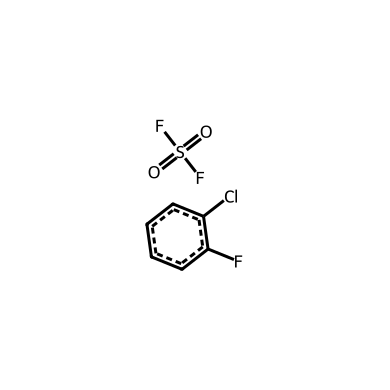 Fc1ccccc1Cl.O=S(=O)(F)F